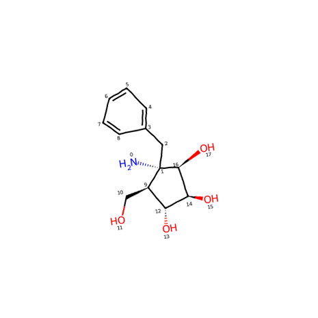 N[C@@]1(Cc2ccccc2)[C@H](CO)[C@@H](O)[C@H](O)[C@@H]1O